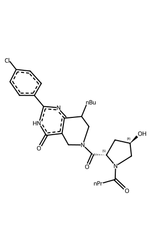 CCCCC1CN(C(=O)[C@@H]2C[C@@H](O)CN2C(=O)CCC)Cc2c1nc(-c1ccc(Cl)cc1)[nH]c2=O